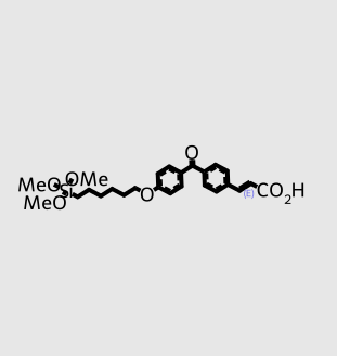 CO[Si](CCCCCCOc1ccc(C(=O)c2ccc(/C=C/C(=O)O)cc2)cc1)(OC)OC